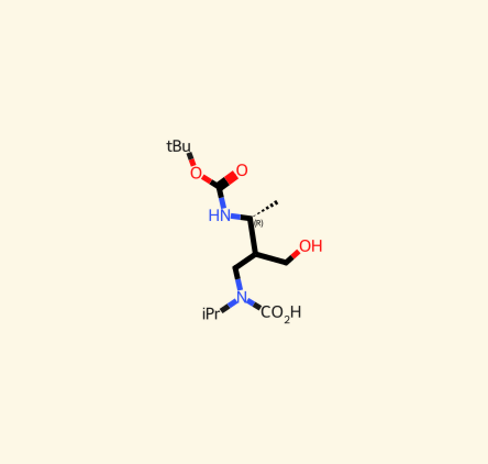 CC(C)N(CC(CO)[C@@H](C)NC(=O)OC(C)(C)C)C(=O)O